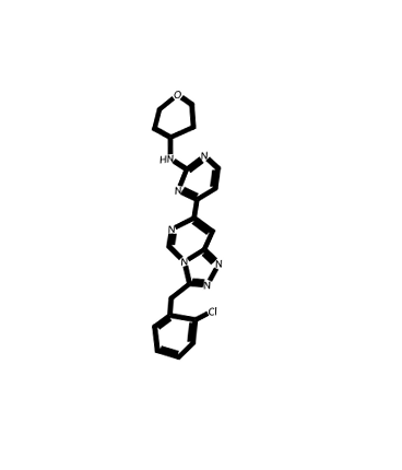 Clc1ccccc1Cc1nnc2cc(-c3ccnc(NC4CCOCC4)n3)ncn12